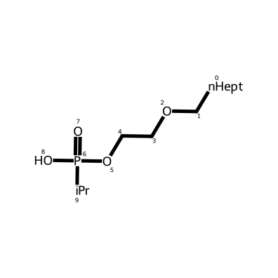 CCCCCCCCOCCOP(=O)(O)C(C)C